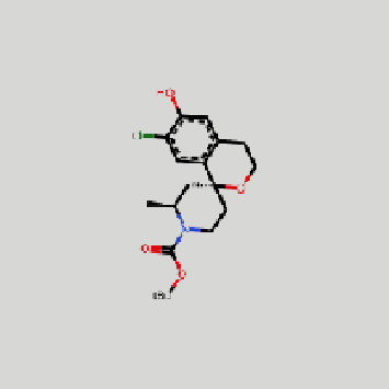 C[C@H]1C[C@@]2(CCN1C(=O)OC(C)(C)C)OCCc1cc(O)c(Cl)cc12